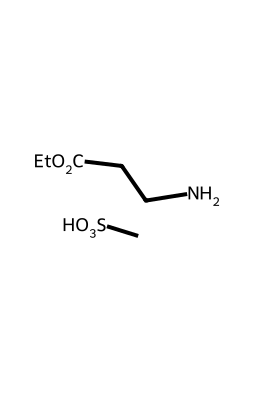 CCOC(=O)CCN.CS(=O)(=O)O